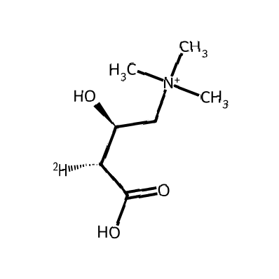 [2H][C@@H](C(=O)O)[C@@H](O)C[N+](C)(C)C